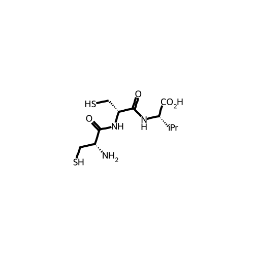 CC(C)[C@H](NC(=O)[C@@H](CS)NC(=O)[C@H](N)CS)C(=O)O